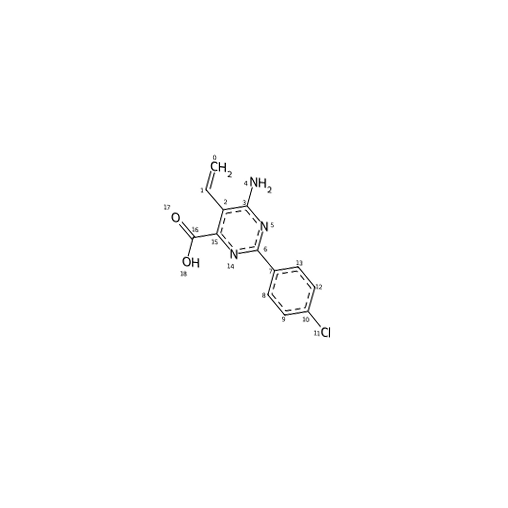 C=Cc1c(N)nc(-c2ccc(Cl)cc2)nc1C(=O)O